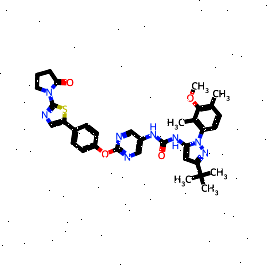 COc1c(C)ccc(-n2nc(C(C)(C)C)cc2NC(=O)Nc2cnc(Oc3ccc(-c4cnc(N5CCCC5=O)s4)cc3)nc2)c1C